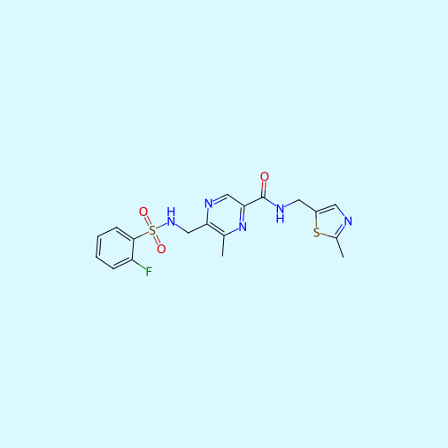 Cc1ncc(CNC(=O)c2cnc(CNS(=O)(=O)c3ccccc3F)c(C)n2)s1